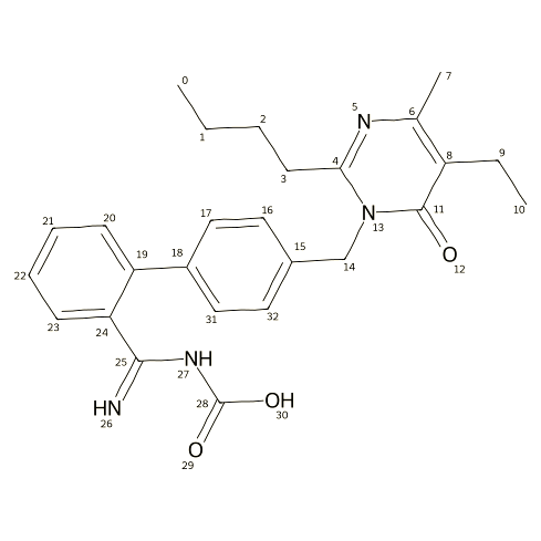 CCCCc1nc(C)c(CC)c(=O)n1Cc1ccc(-c2ccccc2C(=N)NC(=O)O)cc1